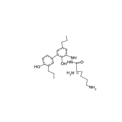 CCCc1cc(NNC(=O)[C@@H](N)CCCCN)c(O)c(-c2ccc(O)c(CCC)c2)c1